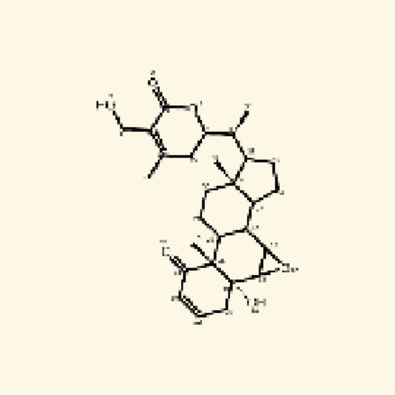 CC1=C(CO)C(=O)OC([C@@H](C)C2CCC3C4C5OC5[C@@]5(O)CC=CC(=O)[C@]5(C)C4CC[C@@]32C)C1